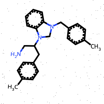 Cc1ccc(CC(CN)N2CN(Cc3ccc(C)cc3)c3ccccc32)cc1